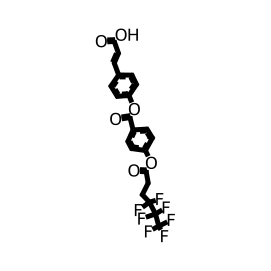 O=C(O)/C=C/c1ccc(OC(=O)c2ccc(OC(=O)CCC(F)(F)C(F)(F)C(F)(F)F)cc2)cc1